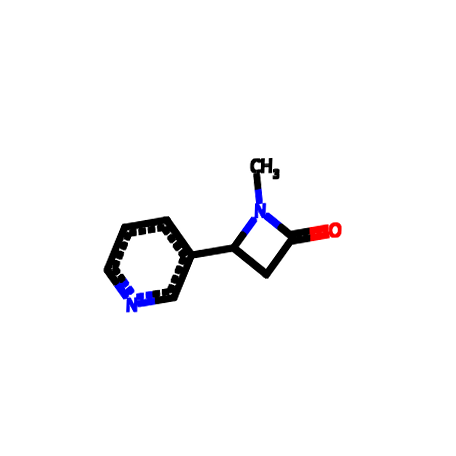 CN1C(=O)CC1c1cccnc1